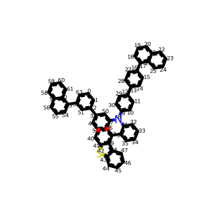 c1cc(-c2cccc(N(c3ccc(-c4ccc(-c5cccc6ccccc56)cc4)cc3)c3ccccc3-c3cccc4sc5ccccc5c34)c2)cc(-c2cccc3ccccc23)c1